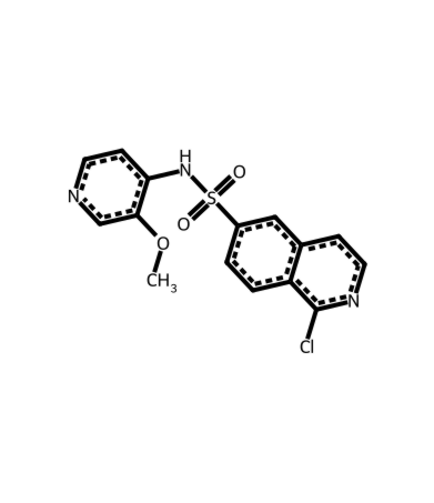 COc1cnccc1NS(=O)(=O)c1ccc2c(Cl)nccc2c1